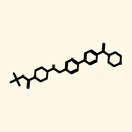 CC(C)(C)OC(=O)N1CCC(NCc2ccc(-c3ccc(C(=O)N4CCOCC4)cc3)nc2)CC1